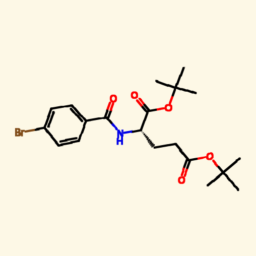 CC(C)(C)OC(=O)CC[C@H](NC(=O)c1ccc(Br)cc1)C(=O)OC(C)(C)C